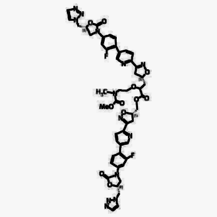 COC(=O)N(C)CCOC(C[C@@H]1CC(c2ccc(-c3ccc(N4C[C@H](Cn5ccnn5)OC4=O)cc3F)cn2)=NO1)C(=O)OC[C@@H]1CC(c2ccc(-c3ccc(N4C[C@H](Cn5ccnn5)OC4=O)cc3F)cn2)=NO1